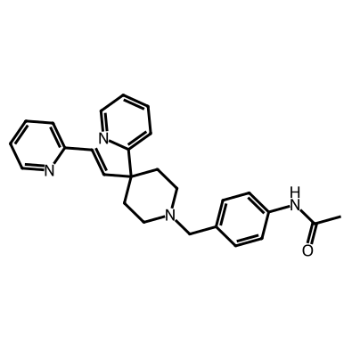 CC(=O)Nc1ccc(CN2CCC(C=Cc3ccccn3)(c3ccccn3)CC2)cc1